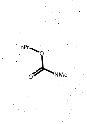 CC[CH]OC(=O)NC